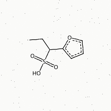 [CH2]CC(c1ccco1)S(=O)(=O)O